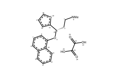 CNCC[C@H](Oc1cccc2ccccc12)c1cccs1.O=C(O)C(=O)O